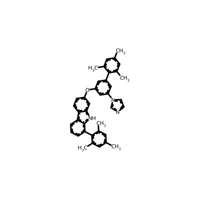 Cc1cc(C)c(-c2cc(Oc3ccc4c(c3)[nH]c3c(-c5c(C)cc(C)cc5C)cccc34)cc(-n3ccnc3)c2)c(C)c1